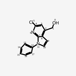 OCc1cc(Cl)nc2c1ccn2-c1ccccc1